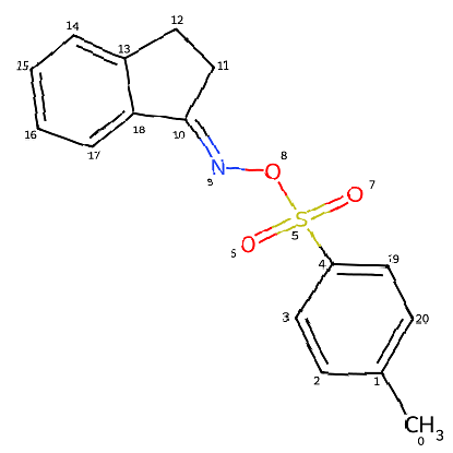 Cc1ccc(S(=O)(=O)O/N=C2\CCc3ccccc32)cc1